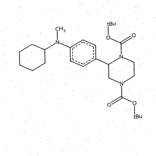 CN(c1ccc(C2CN(C(=O)OC(C)(C)C)CCN2C(=O)OC(C)(C)C)cc1)C1CCCCC1